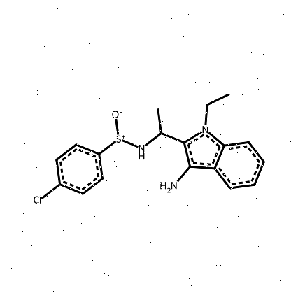 CCn1c(C(C)N[S+]([O-])c2ccc(Cl)cc2)c(N)c2ccccc21